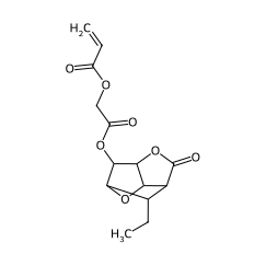 C=CC(=O)OCC(=O)OC1C2OC3C1OC(=O)C3C2CC